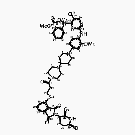 COc1cc(N2CCC(N3CCN(C(=O)CCSc4cccc5c4C(=O)N(C4CCC(=O)NC4=O)C5=O)CC3)CC2)ccc1Nc1ncc(Cl)c(Nc2ccccc2P(=O)(OC)OC)n1